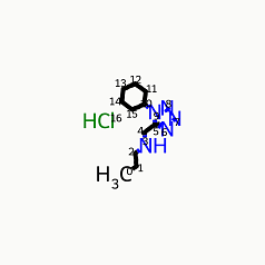 CCCNCc1nnnn1C1CCCCC1.Cl